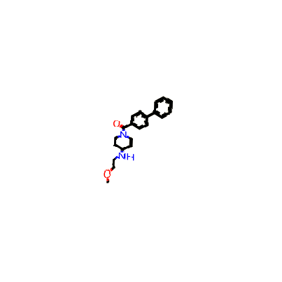 COCCNC1CCN(C(=O)c2ccc(-c3ccccc3)cc2)CC1